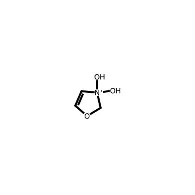 O[N+]1(O)C=COC1